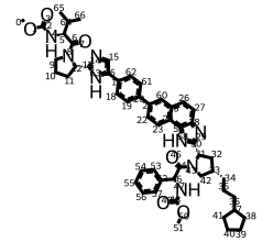 COC(=O)N[C@H](C(=O)N1CCC[C@H]1c1ncc(-c2ccc(-c3ccc4c(ccc5nc([C@@H]6C[C@H](CCCC7CCCC7)CN6C(=O)[C@H](NC(=O)OC)c6ccccc6)[nH]c54)c3)cc2)[nH]1)C(C)C